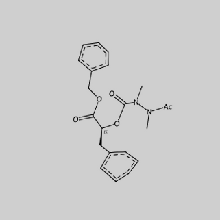 CC(=O)N(C)N(C)C(=O)O[C@@H](Cc1ccccc1)C(=O)OCc1ccccc1